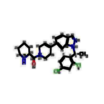 C[C@H](c1ccc(Cl)cc1Cl)n1ncc2ccc(C3=CCN(C(=O)C4CCCCN4)CC3)cc21